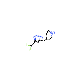 FC(F)c1cc(CC2CCNCC2)[nH]n1